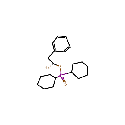 S=P(S[C@H](S)Cc1ccccc1)(C1CCCCC1)C1CCCCC1